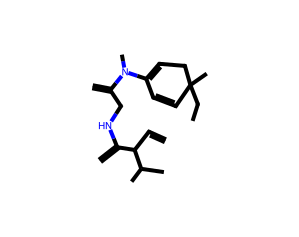 C=CC(C(=C)NCC(=C)N(C)C1=CCC(C)(CC)C=C1)C(C)C